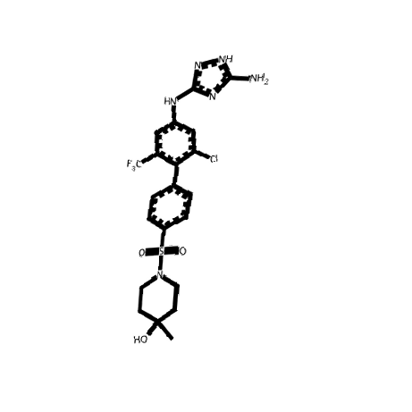 CC1(O)CCN(S(=O)(=O)c2ccc(-c3c(Cl)cc(Nc4n[nH]c(N)n4)cc3C(F)(F)F)cc2)CC1